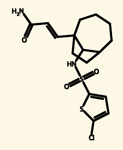 NC(=O)/C=C/C12CCCCC(CC1)C2NS(=O)(=O)c1ccc(Cl)s1